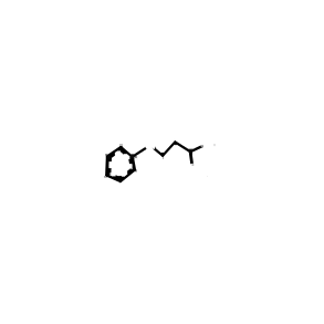 CCCCC(CCSc1ccccc1)C(=O)O